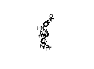 CNc1nc(NC2CCC3(CC2)CN(C(C)=O)C3)nn2ccc(-c3ccc4nc(C)n(CC(F)F)c4n3)c12